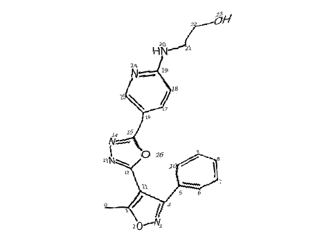 Cc1onc(-c2ccccc2)c1-c1nnc(-c2ccc(NCCO)nc2)o1